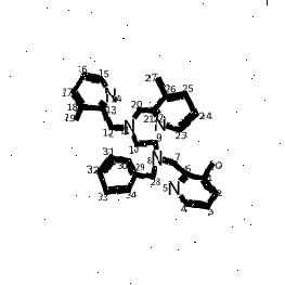 Cc1cccnc1CN(CCN(Cc1ncccc1C)Cc1ncccc1C)Cc1ccccc1